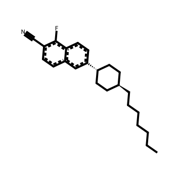 CCCCCCC[C@H]1CC[C@H](c2ccc3c(F)c(C#N)ccc3c2)CC1